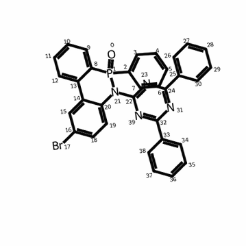 O=P1(c2ccccc2)c2ccccc2-c2cc(Br)ccc2N1c1nc(-c2ccccc2)nc(-c2ccccc2)n1